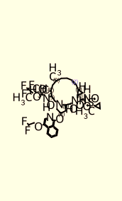 C[C@@H]1CC/C=C\[C@@H]2C[C@@]2(C(=O)NS(=O)(=O)C2(C)CC2)NC(=O)[C@@H]2C[C@@H](Oc3ncc(OCC(F)F)c4ccccc34)CN2C(=O)[C@@H](NC(=O)OC(C)(C)C(F)(F)F)[C@H](C)C1